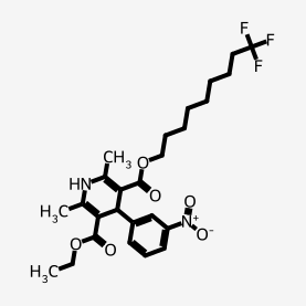 CCOC(=O)C1=C(C)NC(C)=C(C(=O)OCCCCCCCCC(F)(F)F)C1c1cccc([N+](=O)[O-])c1